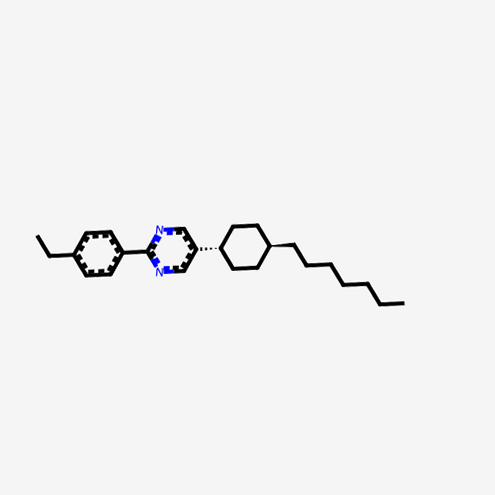 CCCCCCC[C@H]1CC[C@H](c2cnc(-c3ccc(CC)cc3)nc2)CC1